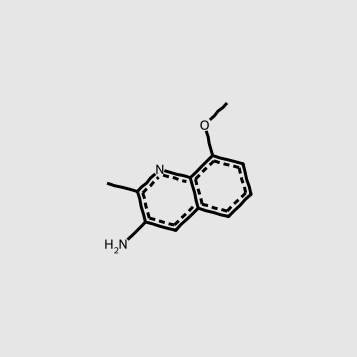 COc1cccc2cc(N)c(C)nc12